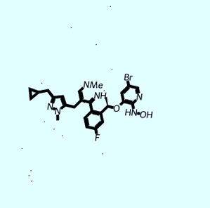 CN/C=C(/Cc1cc(CC2CC2)nn1C)C(=N)c1ccc(F)cc1[C@@H](C)Oc1cc(Br)cnc1NO